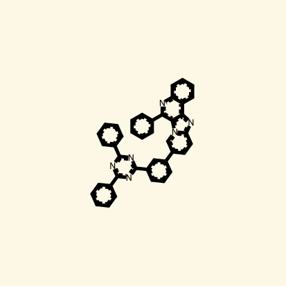 c1ccc(-c2nc(-c3ccccc3)nc(-c3cccc(-c4ccc5nc6c7ccccc7nc(-c7ccccc7)c6n5c4)c3)n2)cc1